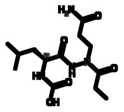 CCC(=O)N(CCC(N)=O)NC(=O)[C@H](CC(C)C)NC(=O)O